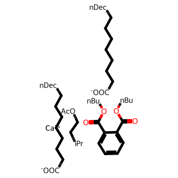 CC(=O)OCCC(C)C.CCCCCCCCCCCCCCCCCC(=O)[O-].CCCCCCCCCCCCCCCCCC(=O)[O-].CCCCOC(=O)c1ccccc1C(=O)OCCCC.[Ca+2]